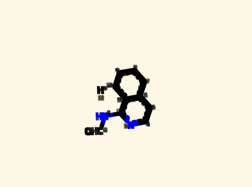 O=CNc1nccc2ccccc12.[H+]